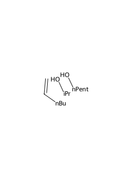 C=CCCCC.CC(C)O.CCCCCO